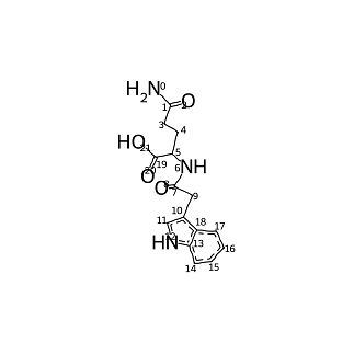 NC(=O)CCC(NC(=O)Cc1c[nH]c2ccccc12)C(=O)O